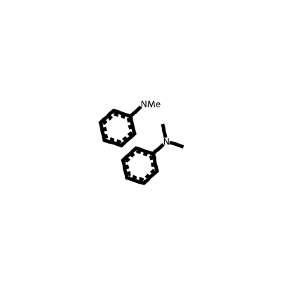 CN(C)c1ccccc1.CNc1ccccc1